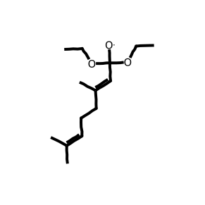 CCOC([O])(/C=C(\C)CCC=C(C)C)OCC